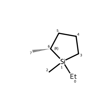 CC[Si]1(C)CCC[C@H]1C